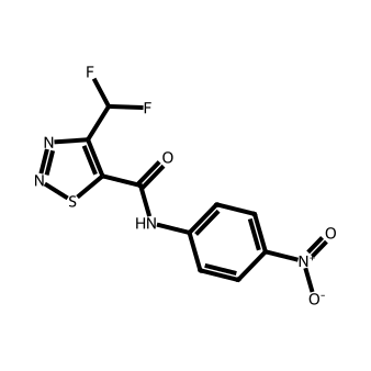 O=C(Nc1ccc([N+](=O)[O-])cc1)c1snnc1C(F)F